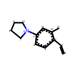 C=Cc1ccc(N2CCCC2)cc1C